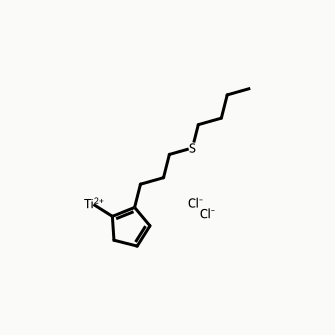 CCCCSCCCC1=[C]([Ti+2])CC=C1.[Cl-].[Cl-]